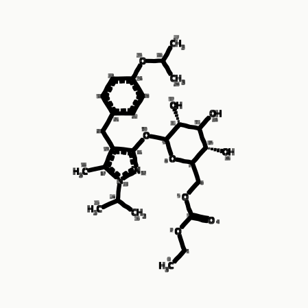 CCOC(=O)OCC1OC(Oc2nn(C(C)C)c(C)c2Cc2ccc(OC(C)C)cc2)[C@H](O)C(O)[C@@H]1O